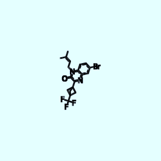 CC(C)=CCn1c(=O)c(C23CC(C(F)(F)F)(C2)C3)nc2cc(Br)ccc21